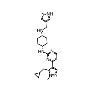 Cn1ncc(-c2ccnc(N[C@H]3CC[C@H](NCc4cn[nH]c4)CC3)n2)c1CC1CC1